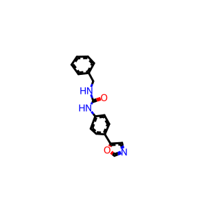 O=C(NCc1ccccc1)Nc1ccc(-c2cnco2)cc1